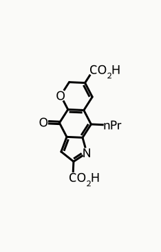 CCCC1=C2N=C(C(=O)O)C=C2C(=O)C2=C1C=C(C(=O)O)CO2